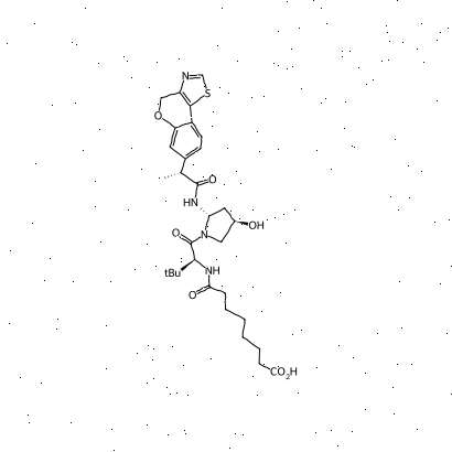 C[C@@H](C(=O)N[C@@H]1C[C@@H](O)CN1C(=O)[C@@H](NC(=O)CCCCCCC(=O)O)C(C)(C)C)c1ccc2c(c1)OCc1ncsc1-2